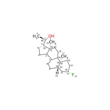 C[C@@H](O)[C@H]1CCC2C3CC[C@H]4C[C@@H](F)CC[C@]4(C)C3CC[C@@]21C